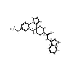 COc1ccc2c(c1)NC1(CCN(C(=O)Cn3cnc4ccccc43)CC1)c1cccn1-2